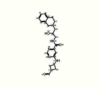 O=CN1CC(Nc2cc(C(=O)NCC(O)CN3CCc4ccccc4C3)ncn2)C1